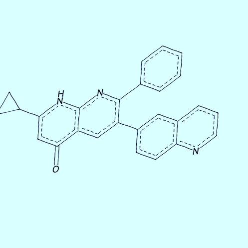 O=c1cc(C2CC2)[nH]c2nc(-c3ccccc3)c(-c3ccc4ncccc4c3)cc12